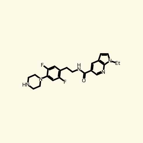 CCn1ccc2cc(C(=O)NCCc3cc(F)c(N4CCNCC4)cc3F)cnc21